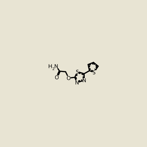 NC(=O)COc1nnc(-c2cccs2)s1